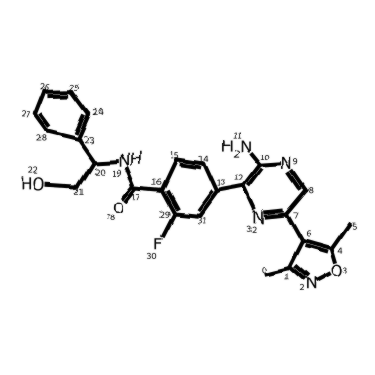 Cc1noc(C)c1-c1cnc(N)c(-c2ccc(C(=O)NC(CO)c3ccccc3)c(F)c2)n1